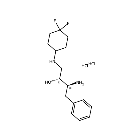 Cl.Cl.N[C@@H](Cc1ccccc1)[C@H](O)CNC1CCC(F)(F)CC1